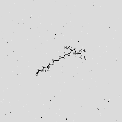 CC(C)NCC(C)OCCOCCOCC(F)CNC=O